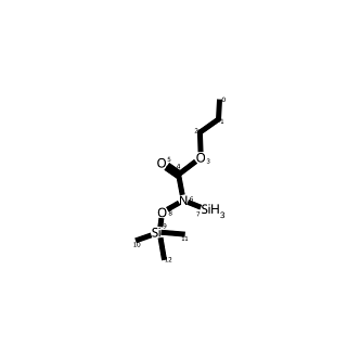 CCCOC(=O)N([SiH3])O[Si](C)(C)C